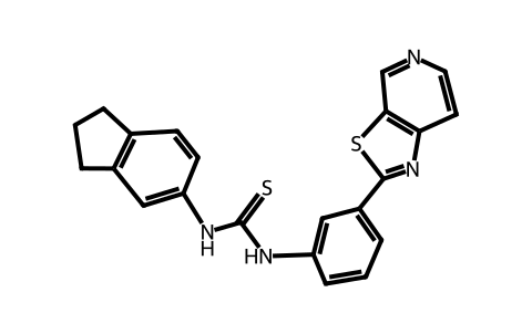 S=C(Nc1cccc(-c2nc3ccncc3s2)c1)Nc1ccc2c(c1)CCC2